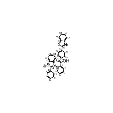 O=C(O)c1ccccn1.[Ir].c1ccc(-c2nc3ccccc3s2)cc1.c1ccc(-c2nc3ccccc3s2)cc1